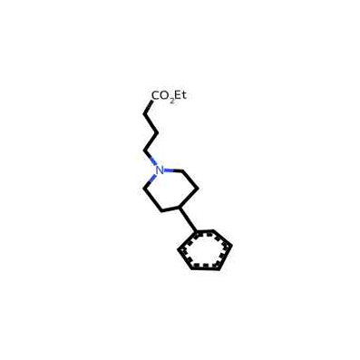 CCOC(=O)CCCN1CCC(c2ccccc2)CC1